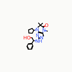 CN1C(=O)C(C)(C)CN(C2CCCC2)c2nc(NC(CO)c3ccccc3)ncc21